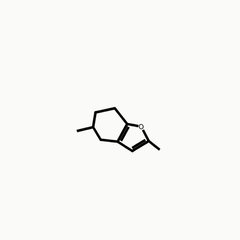 Cc1cc2c(o1)CCC(C)C2